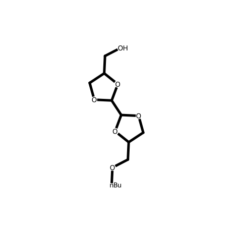 CCCCOCC1COC(C2OCC(CO)O2)O1